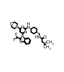 CN(C)CC(=O)NC[C@H]1CC[C@H](Nc2nc(N3CCOCC3)cc(-n3c(C(F)F)nc4ccccc43)n2)CC1